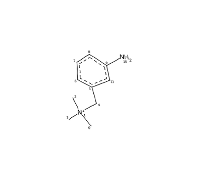 C[N+](C)(C)Cc1cccc(N)c1